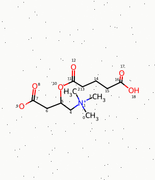 C[N+](C)(C)CC(CC(=O)[O-])OC(=O)CCCC(=O)O